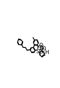 Cc1ccc(OS(=O)(=O)c2ccccc2)c(-c2cc(CCCc3ccccc3)ccc2S(=O)(=O)O)c1